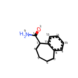 NC(=O)C1CCC[CH]c2ccccc21